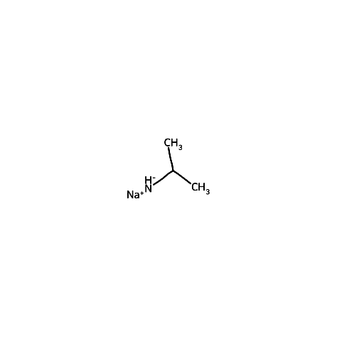 CC(C)[NH-].[Na+]